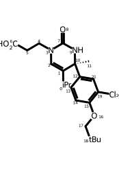 CC(C)C1=CN(CCC(=O)O)C(=O)N[C@@]1(C)c1ccc(OCC(C)(C)C)c(Cl)c1